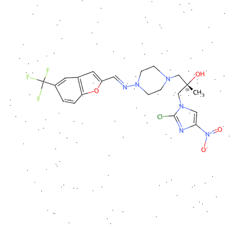 C[C@](O)(CN1CCN(N=Cc2cc3cc(C(F)(F)F)ccc3o2)CC1)Cn1cc([N+](=O)[O-])nc1Cl